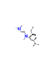 CCc1ccc(C(C)C)cc1N(C)CCN(C)C